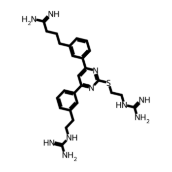 N=C(N)CCCc1cccc(-c2cc(-c3cccc(CCNC(=N)N)c3)nc(SCCNC(=N)N)n2)c1